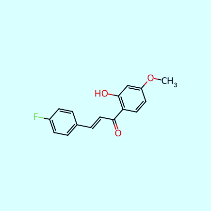 COc1ccc(C(=O)C=Cc2ccc(F)cc2)c(O)c1